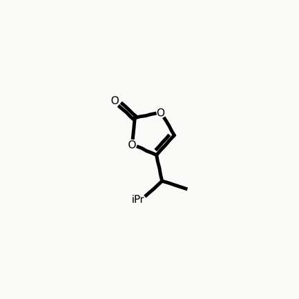 CC(C)C(C)c1coc(=O)o1